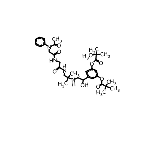 CC(=O)N(CC(=O)NCC(=O)NCC(C)(C)NCC(O)c1cc(OC(=O)C(C)(C)C)cc(OC(=O)C(C)(C)C)c1)c1ccccc1